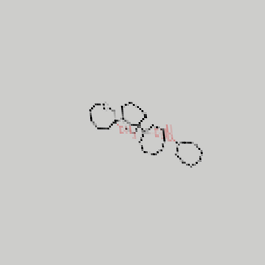 BC1(C23CCCCC(C45BC(BC6CCCCCCC6)(CCCC4)CC5)(CC2)C3)CCCCCCC1